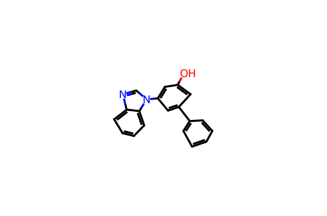 Oc1cc(-c2ccccc2)cc(-n2cnc3ccccc32)c1